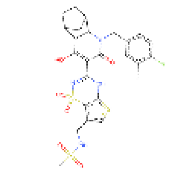 Cc1cc(CN2C(=O)C(C3=NS(=O)(=O)c4c(CNS(C)(=O)=O)csc4N3)=C(O)C3C4CCC(C4)C32)ccc1F